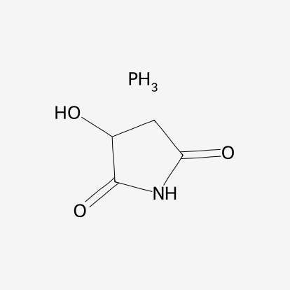 O=C1CC(O)C(=O)N1.P